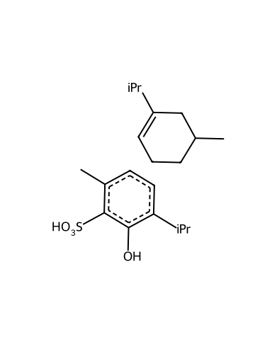 CC1CCC=C(C(C)C)C1.Cc1ccc(C(C)C)c(O)c1S(=O)(=O)O